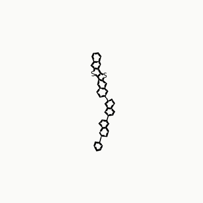 c1ccc(-c2ccc3cc(-c4ccc5ccc(-c6ccc7cc8c(cc7c6)sc6c7cc9ccccc9cc7sc86)cc5c4)ccc3c2)cc1